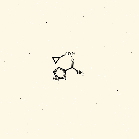 NC(=O)c1cc[nH]n1.O=C(O)C1CC1